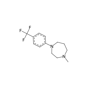 CN1CCCN(c2ccc(C(F)(F)F)cc2)CC1